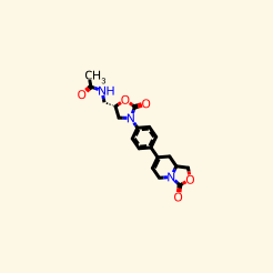 CC(=O)NC[C@H]1CN(c2ccc(C3=CCN4C(=O)OCC4C3)cc2)C(=O)O1